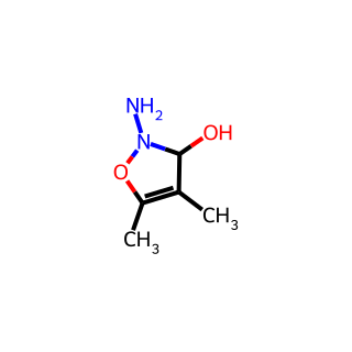 CC1=C(C)C(O)N(N)O1